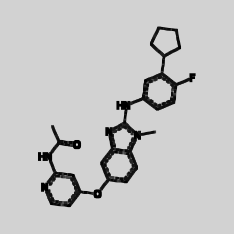 CC(=O)Nc1cc(Oc2ccc3c(c2)nc(Nc2ccc(F)c(C4CCCC4)c2)n3C)ccn1